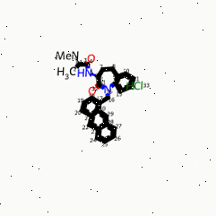 CN[C@@H](C)C(=O)N[C@H]1CCc2ccccc2N(Cc2cccc3cc4ccccc4cc23)C1=O.Cl